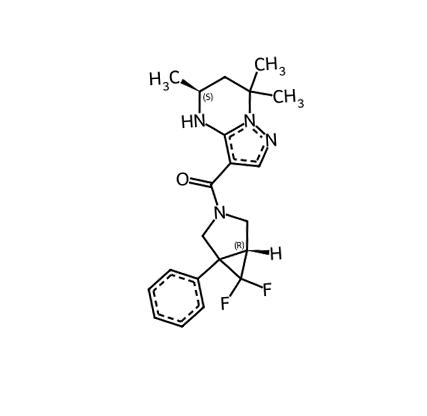 C[C@H]1CC(C)(C)n2ncc(C(=O)N3C[C@@H]4C(F)(F)C4(c4ccccc4)C3)c2N1